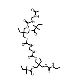 CCNC(=O)OCC(CC)(COC(=O)NCNC(=O)OCC(CC)(COC(=O)NCNC(C)=O)COC(=O)C(C)(C)CC)COC(=O)C(C)(C)CC